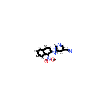 N#Cc1cncc(Nc2ccc3ccccc3c2[N+](=O)[O-])c1